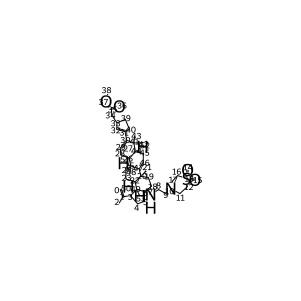 C=C(C)[C@@H]1CC[C@]2(NCCN3CCS(=O)(=O)CC3)CC[C@]3(C)[C@H](CC[C@@H]4[C@@]5(C)CC=C(C6=CC(CC(=O)OC)CC6)C(C)(C)[C@@H]5CC[C@]43C)[C@@H]12